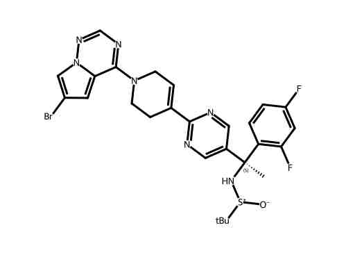 CC(C)(C)[S+]([O-])N[C@@](C)(c1cnc(C2=CCN(c3ncnn4cc(Br)cc34)CC2)nc1)c1ccc(F)cc1F